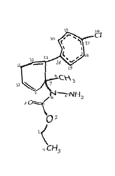 CCOC(=O)N(N)C1(C)C=CCC=C1c1ccc(Cl)cc1